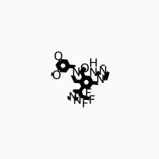 COc1cc(CN2CCc3c(cc(Cn4ccn(C)c4=N)cc3-c3cn(C)nc3C(F)(F)F)C2=O)cc(OC)c1